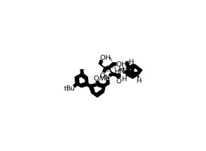 COc1c(CN2O[C@@H](CO)[C@@H]([C@H](C)O)C2C(=O)N[C@H]2C[C@H]3C[C@@H]([C@@H]2C)C3(C)C)cccc1-c1cc(C)cc(C(C)(C)C)c1